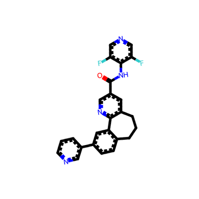 O=C(Nc1c(F)cncc1F)c1cnc2c(c1)CCCc1ccc(-c3cccnc3)cc1-2